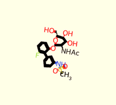 CC(=O)N[C@H]1[C@H](Oc2cccc(F)c2-c2cccc(NS(C)(=O)=O)c2)O[C@H](CO)[C@H](O)[C@@H]1O